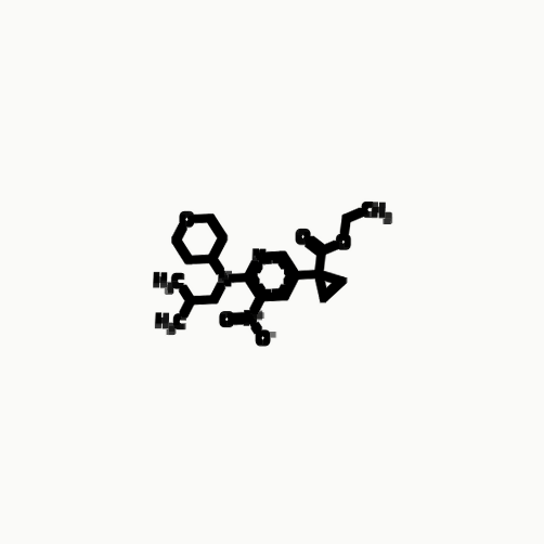 CCOC(=O)C1(c2cnc(N(CC(C)C)C3CCOCC3)c([N+](=O)[O-])c2)CC1